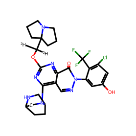 [2H]C([2H])(Oc1nc(N2CC3CCC2CN3)c2cnn(-c3cc(O)cc(Cl)c3C(F)(F)F)c(=O)c2n1)C12CCCN1CCC2